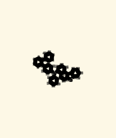 c1ccc(-c2ccccc2-c2ccc(N(c3ccccc3)c3cccc4c3ccc3sc5ccccc5c34)cc2)cc1